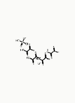 O=P([O-])(O)O.OC(=S)C(F)=S.OC(=S)C(F)=S.OC(=S)C(F)=S.OC(=S)C(F)=S.[Li+]